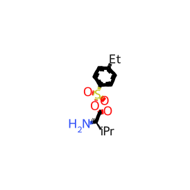 CCc1ccc(S(=O)(=O)OC(=O)[C@H](N)C(C)C)cc1